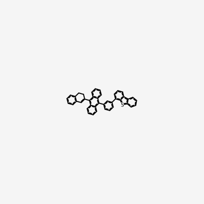 C1=C(c2c3ccccc3c(-c3cccc(-c4cccc5c4sc4ccccc45)c3)c3ccccc23)CCc2ccccc21